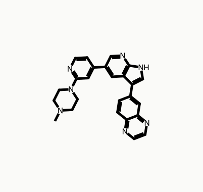 CN1CCN(c2cc(-c3cnc4[nH]cc(-c5ccc6nccnc6c5)c4c3)ccn2)CC1